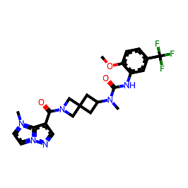 COc1ccc(C(F)(F)F)cc1NC(=O)N(C)C1CC2(C1)CN(C(=O)c1cnn3ccn(C)c13)C2